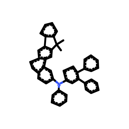 CC1(C)c2ccccc2-c2cc3ccc4ccc(N(c5ccccc5)c5ccc(-c6ccccc6)c(-c6ccccc6)c5)cc4c3cc21